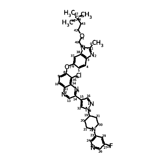 Cc1nc2ccc(Oc3ccc4ncc(-c5cnn(C6CCN(c7cncc(F)c7)CC6)c5)nc4c3Cl)cc2n1COCC[Si](C)(C)C